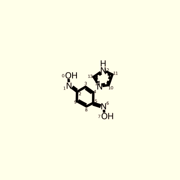 ON=C1C=CC(=NO)C=C1.c1c[nH]cn1